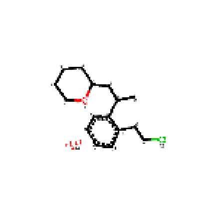 CC(CC1CCCCO1)c1ccccc1CCCl.O